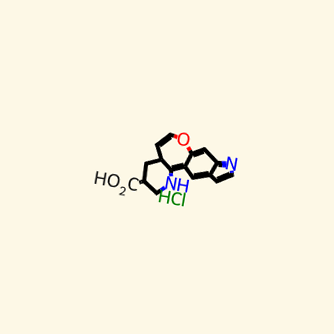 Cl.O=C(O)C1CNC2=c3cc4c(cc3OC=CC2C1)=NC=C4